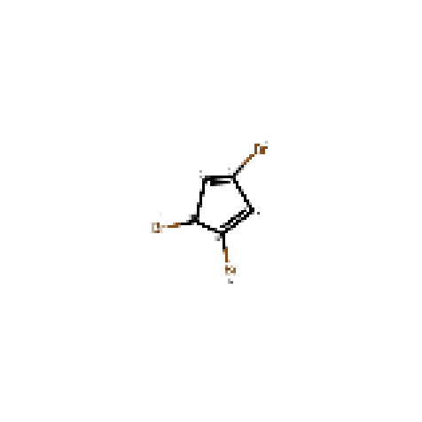 BrC1=CC(Br)C(Br)=C1